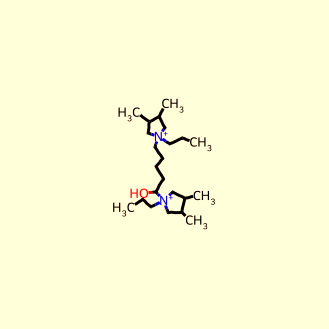 CCC[N+]1(CCCCC(O)[N+]2(CCC)CC(C)C(C)C2)CC(C)C(C)C1